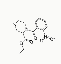 CCOC(=O)C1CSCCN1C(=O)c1ccccc1[N+](=O)[O-]